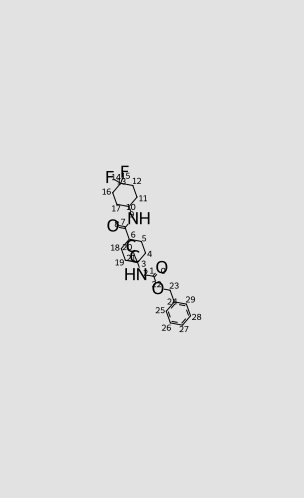 O=C(NC12CCC(C(=O)NC3CCC(F)(F)CC3)(CC1)CC2)OCc1ccccc1